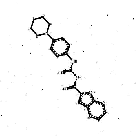 O=C(NC(=S)Nc1ccc(N2CCCCC2)cc1)c1cc2ccccc2o1